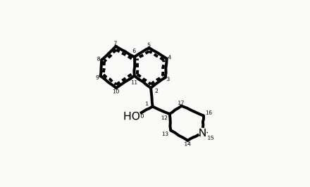 OC(c1cccc2ccccc12)C1CC[N]CC1